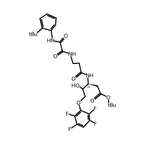 CC(C)(C)OC(=O)C[C@H](NC(=O)CCNC(=O)C(=O)Nc1ccccc1C(C)(C)C)C(O)COc1c(F)c(F)cc(F)c1F